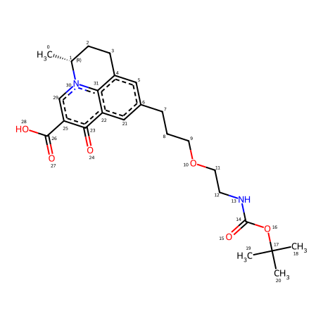 C[C@@H]1CCc2cc(CCCOCCNC(=O)OC(C)(C)C)cc3c(=O)c(C(=O)O)cn1c23